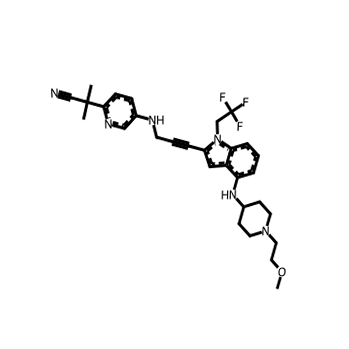 COCCN1CCC(Nc2cccc3c2cc(C#CCNc2ccc(C(C)(C)C#N)nc2)n3CC(F)(F)F)CC1